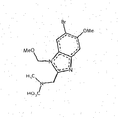 COCn1c(CN(C)C(=O)O)nc2cc(OC)c(Br)cc21